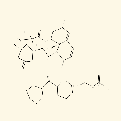 C=C(C1CCCCO1)C1CCCCO1.CCC(C)(C)C(=O)O[C@@H]1C[C@H](C)C=C2C=C[C@@H](C)[C@@H](CC[C@@H]3C[C@H](O)CC(=O)O3)[C@@H]21.CCCC(N)=O